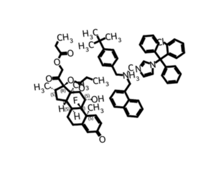 CCC(=O)OCC(=O)[C@@]1(OC(=O)CC)[C@@H](C)C[C@H]2[C@@H]3CCC4=CC(=O)C=C[C@]4(C)[C@@]3(F)[C@@H](O)C[C@@]21C.CN(Cc1ccc(C(C)(C)C)cc1)Cc1cccc2ccccc12.Clc1ccccc1C(c1ccccc1)(c1ccccc1)n1ccnc1